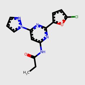 CCC(=O)Nc1cc(-n2cccn2)nc(-c2ccc(Cl)o2)n1